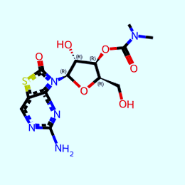 CN(C)C(=O)O[C@@H]1[C@@H](O)[C@H](n2c(=O)sc3cnc(N)nc32)O[C@@H]1CO